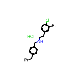 CCc1cc(CCNCc2ccc(CC(C)C)cc2)ccc1Cl.Cl